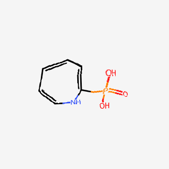 O=P(O)(O)C1=CC=CC=CN1